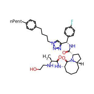 CCCCCc1ccc(CCCCn2cc([C@@H](NC(=O)[C@@H]3CC[C@@H]4CCCC[C@H](NC(=O)[C@H](C)NCCO)C(=O)N43)c3ccc(F)cc3)nn2)cc1